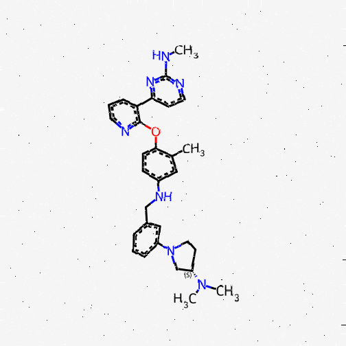 CNc1nccc(-c2cccnc2Oc2ccc(NCc3cccc(N4CC[C@H](N(C)C)C4)c3)cc2C)n1